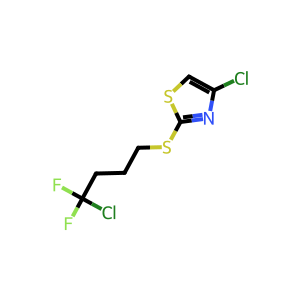 FC(F)(Cl)CCCSc1nc(Cl)cs1